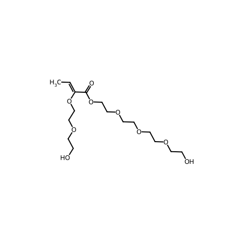 CC=C(OCCOCCO)C(=O)OCCOCCOCCOCCO